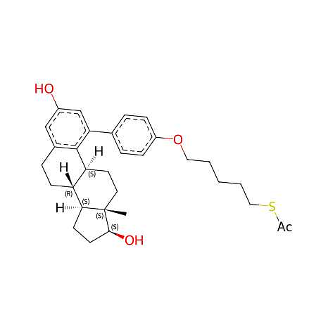 CC(=O)SCCCCCOc1ccc(-c2cc(O)cc3c2[C@H]2CC[C@]4(C)[C@@H](O)CC[C@H]4[C@@H]2CC3)cc1